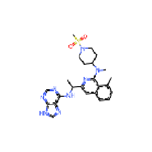 Cc1cccc2cc(C(C)Nc3ncnc4[nH]cnc34)nc(N(C)C3CCN(S(C)(=O)=O)CC3)c12